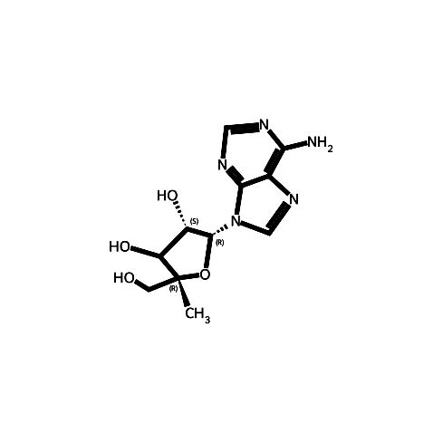 C[C@]1(CO)O[C@@H](n2cnc3c(N)ncnc32)[C@@H](O)C1O